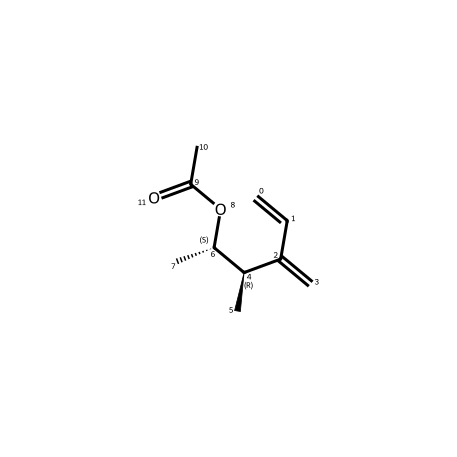 C=CC(=C)[C@@H](C)[C@H](C)OC(C)=O